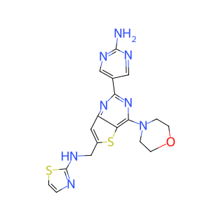 Nc1ncc(-c2nc(N3CCOCC3)c3sc(CNc4nccs4)cc3n2)cn1